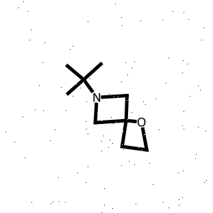 CC(C)(C)N1CC2(CCO2)C1